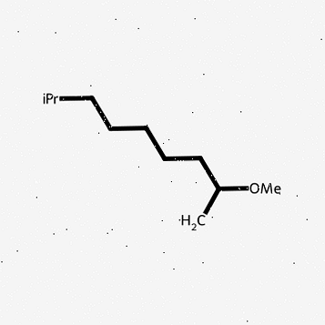 [CH2]C(CCCCCC(C)C)OC